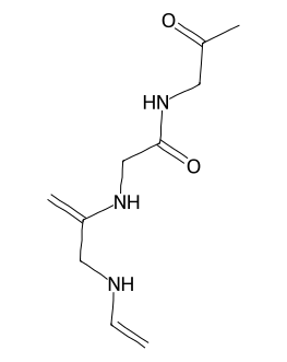 C=CNCC(=C)NCC(=O)NCC(C)=O